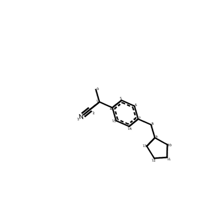 CC(C#N)c1ccc(CC2CCCC2)cc1